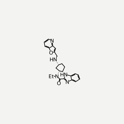 CCN(C(=O)c1nc2ccccc2[nH]1)[C@H]1CCC[C@@H](NCc2cc3ncccc3o2)C1